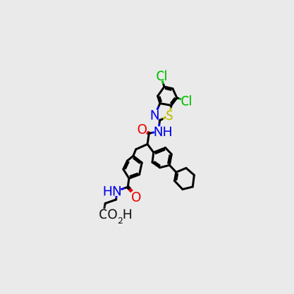 O=C(O)CCNC(=O)c1ccc(CC(C(=O)Nc2nc3cc(Cl)cc(Cl)c3s2)c2ccc(C3=CCCCC3)cc2)cc1